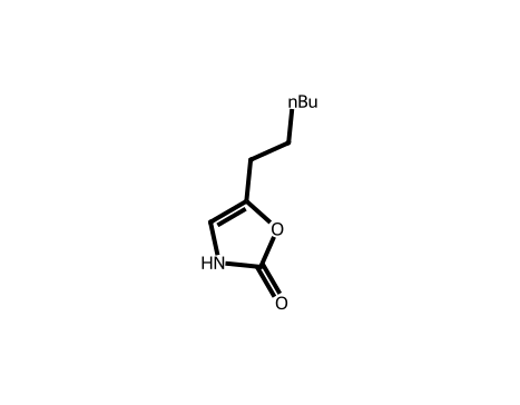 CCCCCCc1c[nH]c(=O)o1